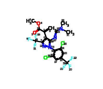 C=C(C(=O)OC)c1c(C(F)(F)F)nn(-c2c(Cl)cc(C(F)(F)F)cc2Cl)c1N=CN(C)C